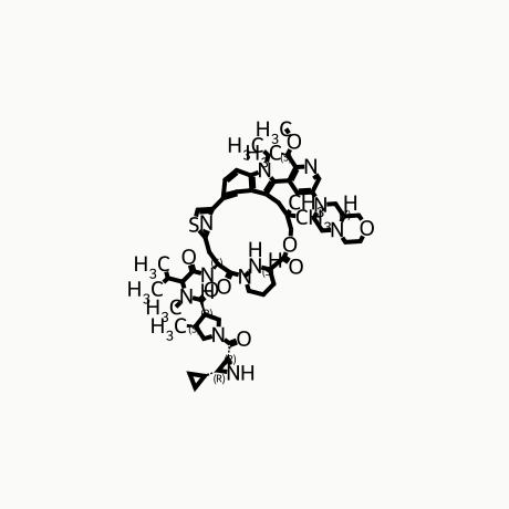 CCn1c(-c2cc(N3CCN4CCOC[C@@H]4C3)cnc2[C@H](C)OC)c2c3cc(ccc31)-c1csc(n1)C[C@H](NC(=O)C(C(C)C)N(C)C(=O)[C@H]1CN(C(=O)[C@@H]3N[C@@H]3C3CC3)C[C@H]1C)C(=O)N1CCC[C@H](N1)C(=O)OCC(C)(C)C2